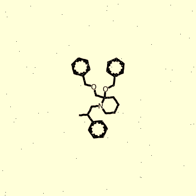 CC(CN1CCCCC1(COCc1ccccc1)OCc1ccccc1)c1ccccc1